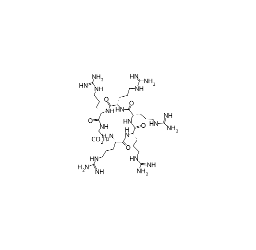 N=C(N)NCCC[C@H](NC(=O)[C@H](CCCNC(=N)N)NC(=O)[C@H](CCCNC(=N)N)NC(=O)[C@H](CCCNC(=N)N)NC(=O)[C@@H](N)CCCNC(=N)N)C(=O)NCC(=O)O